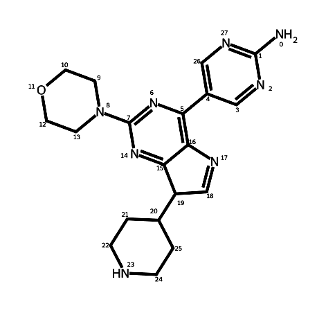 Nc1ncc(-c2nc(N3CCOCC3)nc3c2N=CC3C2CCNCC2)cn1